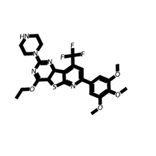 CCOC1=NC(N2CCNCC2)=NC2c3c(C(F)(F)F)cc(-c4cc(OC)c(OC)c(OC)c4)nc3SC12